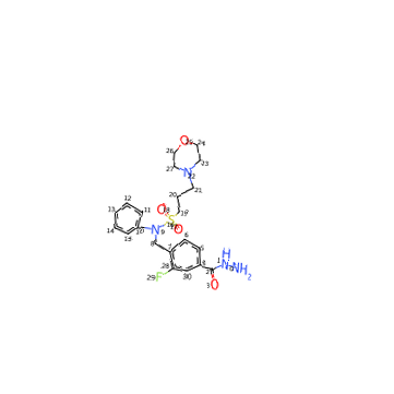 NNC(=O)c1ccc(CN(c2ccccc2)S(=O)(=O)CCCN2CCOCC2)c(F)c1